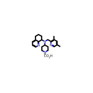 Cc1cnc(CN(C2CCN(C(=O)O)CC2)C2CCCc3cccnc32)c(C)c1